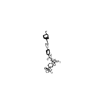 CS(=O)(=O)N1CCN([C@](O)(CNC(=O)c2ccc(OCc3ccc(F)cc3)cc2)C(N)=O)CC1